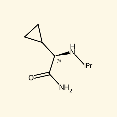 CC(C)N[C@@H](C(N)=O)C1CC1